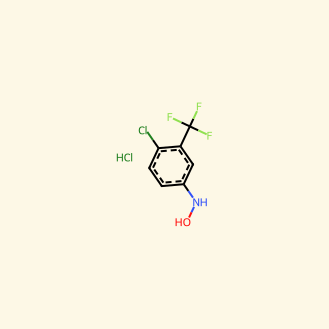 Cl.ONc1ccc(Cl)c(C(F)(F)F)c1